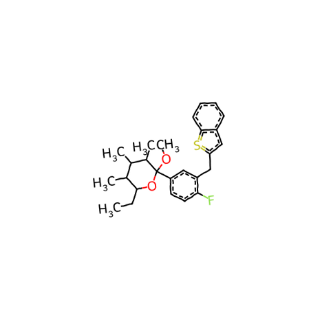 CCC1OC(OC)(c2ccc(F)c(Cc3cc4ccccc4s3)c2)C(C)C(C)C1C